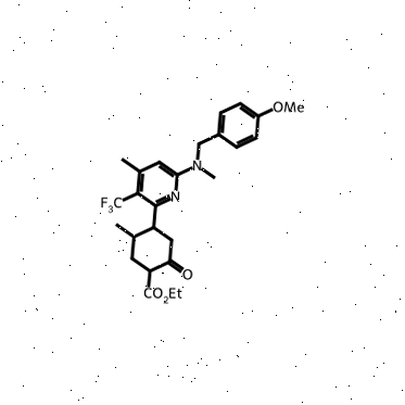 CCOC(=O)C1CC(C)C(c2nc(N(C)Cc3ccc(OC)cc3)cc(C)c2C(F)(F)F)CC1=O